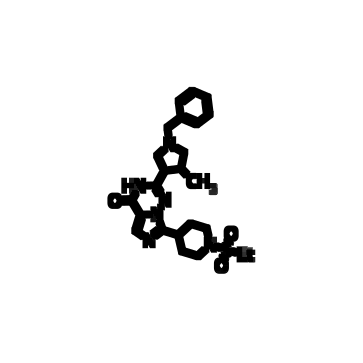 CCS(=O)(=O)N1CCC(c2ncc3c(=O)[nH]c(C4CN(Cc5ccccc5)CC4C)nn23)CC1